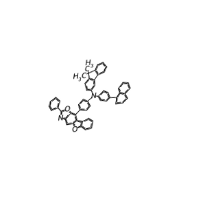 CC1(C)c2ccccc2-c2cc(N(c3ccc(-c4cccc5ccccc45)cc3)c3ccc(-c4c5oc(-c6ccccc6)nc5cc5oc6ccccc6c45)cc3)ccc21